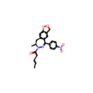 CCCCC(=O)N1N=C(c2ccc([N+](=O)[O-])cc2)c2cc3c(cc2CC1C)OOC3